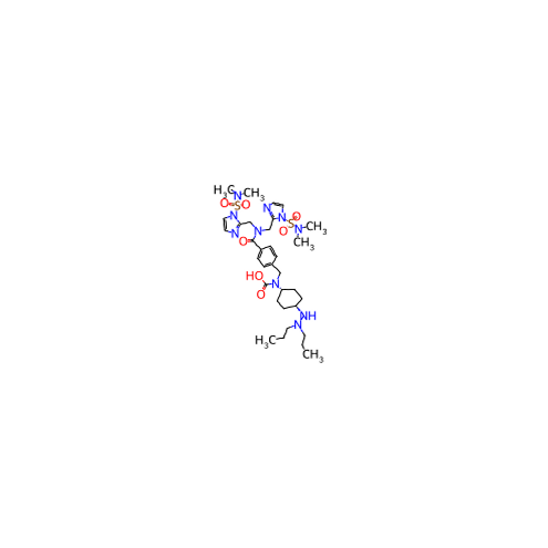 CCCN(CCC)N[C@H]1CC[C@H](N(Cc2ccc(C(=O)N(Cc3nccn3S(=O)(=O)N(C)C)Cc3nccn3S(=O)(=O)N(C)C)cc2)C(=O)O)CC1